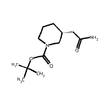 CC(C)(C)OC(=O)N1CCC[C@H](CC(N)=O)C1